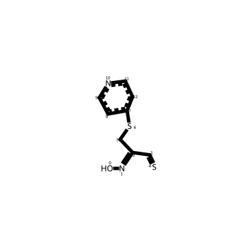 O/N=C(/[C]=S)CSc1ccncc1